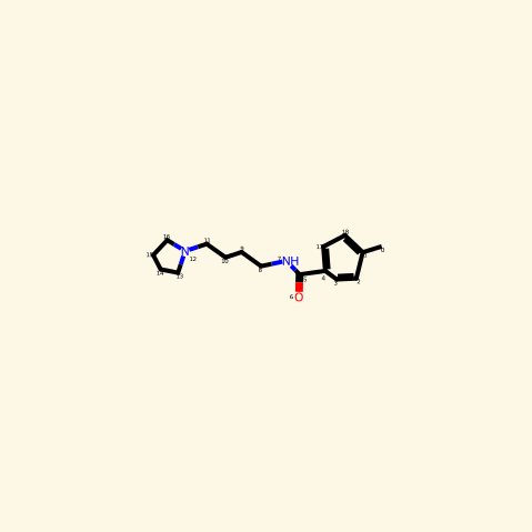 Cc1ccc(C(=O)NCCCCN2CCCC2)cc1